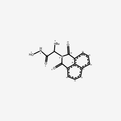 CCCCC(C(=O)NO)N1C(=O)c2cccc3cccc(c23)C1=O